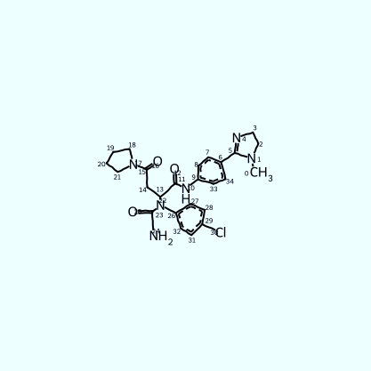 CN1CCN=C1c1ccc(NC(=O)C(CC(=O)N2CCCC2)N(C(N)=O)c2ccc(Cl)cc2)cc1